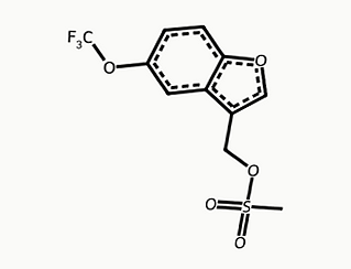 CS(=O)(=O)OCc1coc2ccc(OC(F)(F)F)cc12